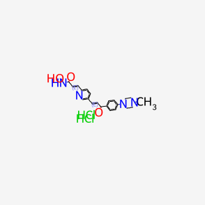 CN1CCN(c2ccc(C(=O)/C=C/c3ccc(/C=C/C(=O)NO)nc3)cc2)CC1.Cl.Cl